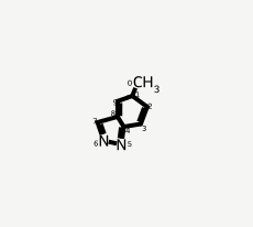 C[C]1C=CC2=NN=CC2=C1